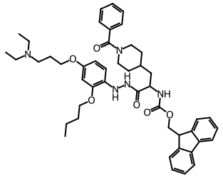 CCCCOc1cc(OCCCN(CC)CC)ccc1NNC(=O)C(CC1CCN(C(=O)c2ccccc2)CC1)NC(=O)OCC1c2ccccc2-c2ccccc21